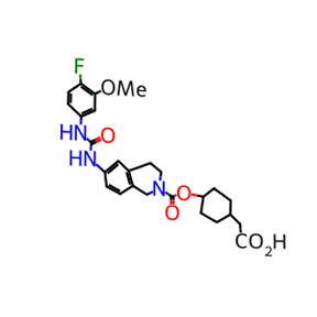 COc1cc(NC(=O)Nc2ccc3c(c2)CCN(C(=O)OC2CCC(CC(=O)O)CC2)C3)ccc1F